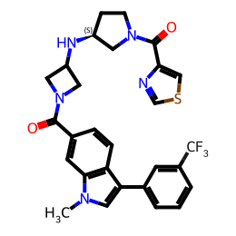 Cn1cc(-c2cccc(C(F)(F)F)c2)c2ccc(C(=O)N3CC(N[C@H]4CCN(C(=O)c5cscn5)C4)C3)cc21